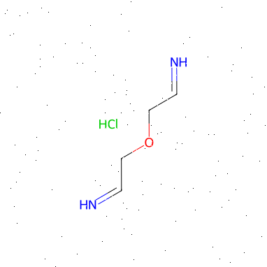 Cl.N=CCOCC=N